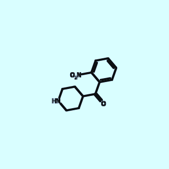 O=C(c1ccccc1[N+](=O)[O-])C1CCNCC1